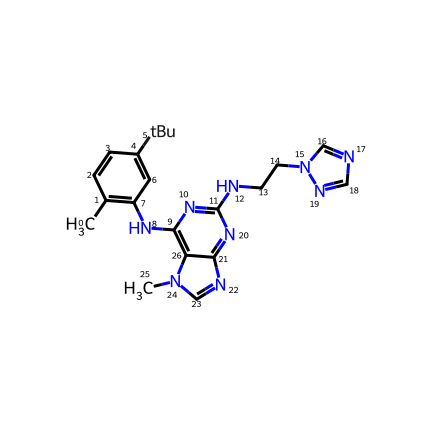 Cc1ccc(C(C)(C)C)cc1Nc1nc(NCCn2cncn2)nc2ncn(C)c12